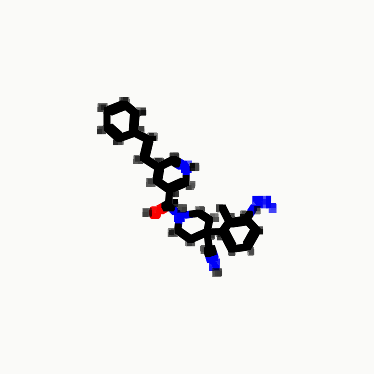 Cc1c(N)cccc1C1(C#N)CCN(C(=O)c2cncc(C=Cc3ccccc3)c2)CC1